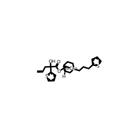 C=CCC(O)(C(=O)O[C@H]1C[N+]2(CCCc3cccs3)CCC1CC2)c1cccs1